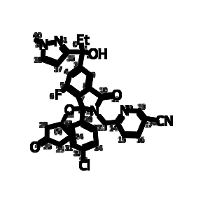 CCC(O)(c1cc(F)c2c(c1)C(=O)N(Cc1ccc(C#N)cn1)C2(O[C@H]1CCC(=O)C1)c1ccc(Cl)cc1)c1ccn(C)n1